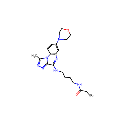 CCC(C)CC(=O)NCCCCNc1nc2cc(N3CCOCC3)ccc2n2c(C)nnc12